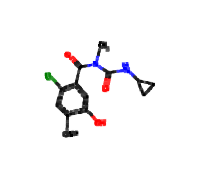 COc1cc(Cl)c(C(=O)N(C)C(=O)NC2CC2)cc1O